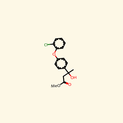 COC(=O)CC(C)(O)c1ccc(Oc2ccccc2Cl)cc1